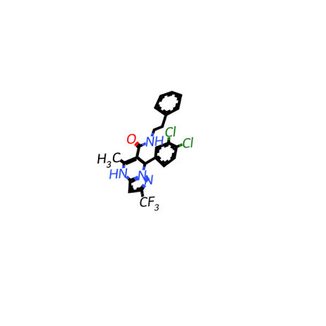 CC1=C(C(=O)NCCc2ccccc2)C(c2ccc(Cl)c(Cl)c2)n2nc(C(F)(F)F)cc2N1